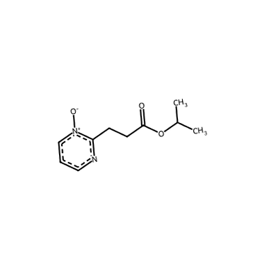 CC(C)OC(=O)CCc1nccc[n+]1[O-]